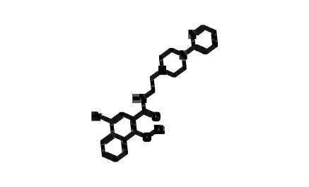 CCOc1c(C(=O)NCCN2CCN(c3ccccn3)CC2)cc(Br)c2ccccc12